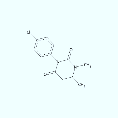 CC1CC(=O)N(c2ccc(Cl)cc2)C(=O)N1C